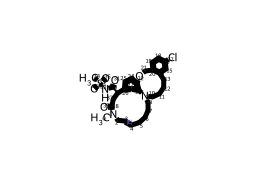 CN1C/C=C/CCCCN2CCCCc3cc(Cl)ccc3COc3ccc(cc32)[C@H](C(=O)NS(C)(=O)=O)CC1=O